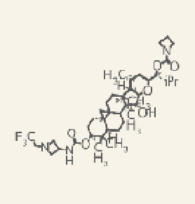 CC(C)[C@@H](OC(=O)N1CCC1)C1C[C@@H](C)[C@H]2C(O1)[C@H](O)[C@@]1(C)C3CC[C@H]4C(C)(C)[C@@H](OC(=O)NC5CN(CC(F)(F)F)C5)CC[C@@]45CC35CC[C@]21C